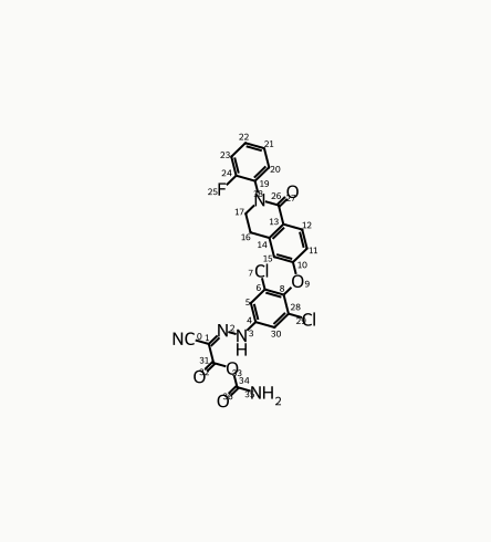 N#CC(=NNc1cc(Cl)c(Oc2ccc3c(c2)CCN(c2ccccc2F)C3=O)c(Cl)c1)C(=O)OC(N)=O